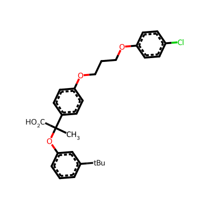 CC(C)(C)c1cccc(OC(C)(C(=O)O)c2ccc(OCCCOc3ccc(Cl)cc3)cc2)c1